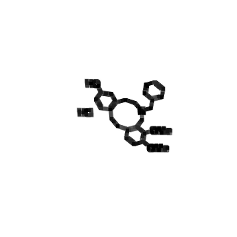 COc1ccc2c(c1OC)CN(Cc1ccccc1)CCc1cc(O)ccc1CC2.Cl